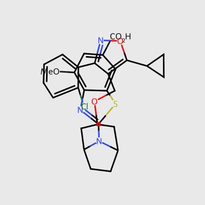 COc1cc(C(=O)O)cc2sc(N3C4CCC3CC(OCc3c(-c5ccccc5Cl)noc3C3CC3)C4)nc12